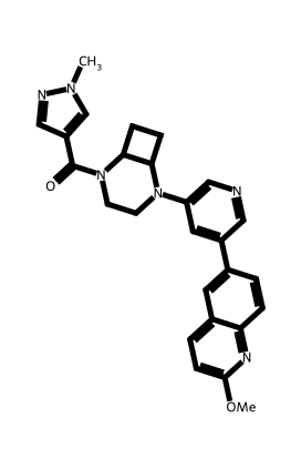 COc1ccc2cc(-c3cncc(N4CCN(C(=O)c5cnn(C)c5)C5CCC54)c3)ccc2n1